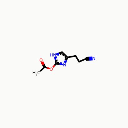 CC(=O)Oc1nc(CCC#N)c[nH]1